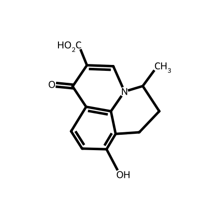 CC1CCc2c(O)ccc3c(=O)c(C(=O)O)cn1c23